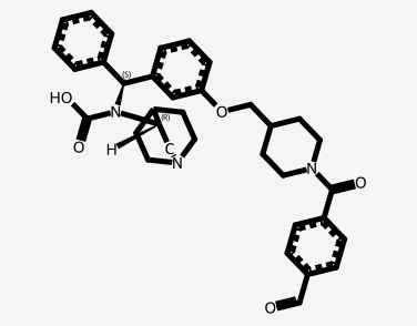 O=Cc1ccc(C(=O)N2CCC(COc3cccc([C@H](c4ccccc4)N(C(=O)O)[C@H]4CN5CCC4CC5)c3)CC2)cc1